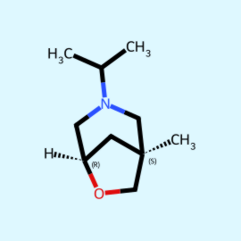 CC(C)N1C[C@H]2C[C@](C)(CO2)C1